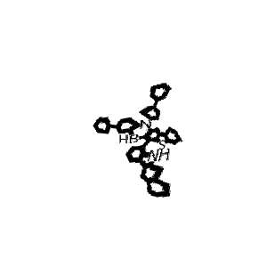 B1c2cc(-c3ccccc3)ccc2N(c2ccc(-c3ccccc3)cc2)c2cc3c(sc4ccccc43)c(-c3cccc4c3[nH]c3cc5ccccc5cc34)c21